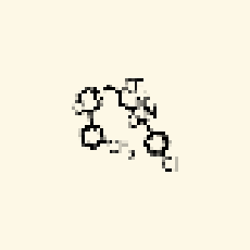 FC(F)(F)c1cccc(C2CN(CC(Cc3nnc(-c4ccc(Cl)cc4)o3)C(F)(F)F)CCO2)c1